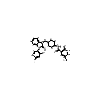 Cc1cc(F)ncc1-n1c(=O)n(CC2CCC(NC(=O)c3cc(Cl)cnc3C)CC2)c2ccccc21